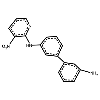 Nc1cccc(-c2cccc(Nc3ncccc3[N+](=O)[O-])c2)c1